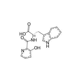 O=C(N[C@@H](Cc1c[nH]c2ccccc12)C(=O)O)c1ncccc1O